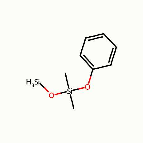 C[Si](C)(O[SiH3])Oc1ccccc1